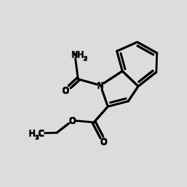 CCOC(=O)c1cc2ccccc2n1C(N)=O